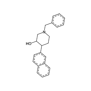 OC1CN(Cc2ccccc2)CCC1c1ccc2ccccc2c1